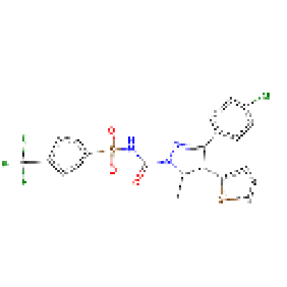 CC1C(c2cccs2)C(c2ccc(Cl)cc2)=NN1C(=O)NS(=O)(=O)c1ccc(C(F)(F)F)cc1